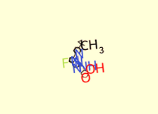 CC1(c2ccc(-c3cc(F)c4cnc(N[C@@H]5CCOC[C@H]5O)nn34)nc2)CC1